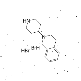 Br.Br.c1ccc2c(c1)CCN(C1CCNCC1)C2